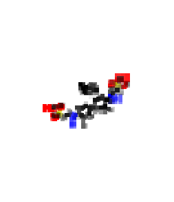 Cc1cc(-c2ccc(NCCS(=O)(=O)O)c(C)c2)ccc1NCCS(=O)(=O)O.[NaH].[NaH]